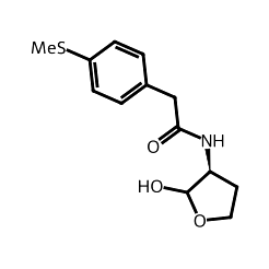 CSc1ccc(CC(=O)N[C@H]2CCOC2O)cc1